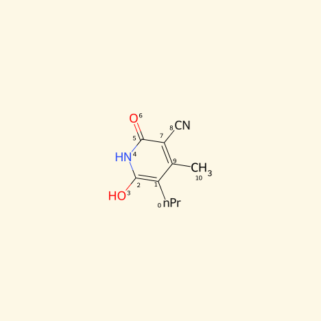 CCCc1c(O)[nH]c(=O)c(C#N)c1C